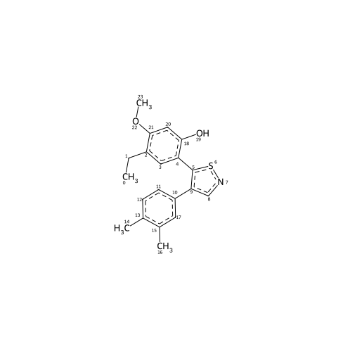 CCc1cc(-c2sncc2-c2ccc(C)c(C)c2)c(O)cc1OC